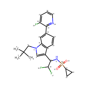 CC(C)(C)Cn1cc(C(NS(=O)(=O)C2CC2)C(F)F)c2ccc(-c3ncccc3F)cc21